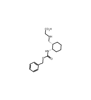 O=C(O)CNC[C@@H]1CCCC[C@@H]1NC(=O)OCc1ccccc1